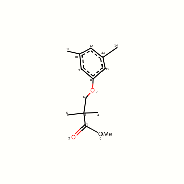 COC(=O)C(C)(C)COc1cc(C)cc(C)c1